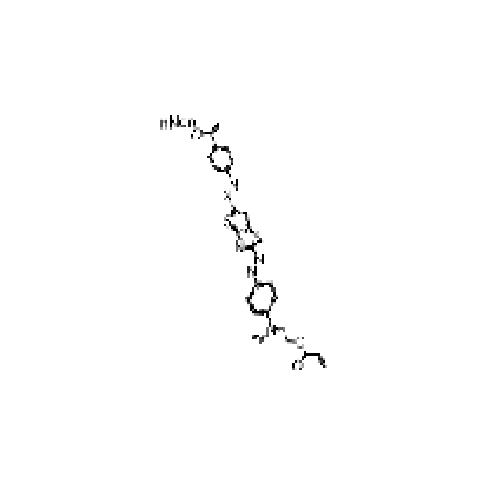 C=CC(=O)OCCN(CC)c1ccc(N=Nc2nc3sc(N=Nc4ccc(C(=C)OCCCCCCCCC)cc4)cc3s2)cc1